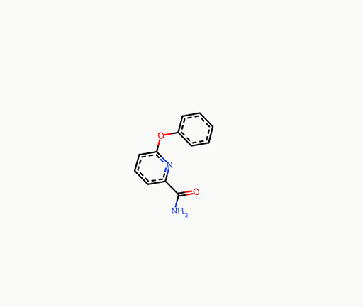 NC(=O)c1cccc(Oc2ccccc2)n1